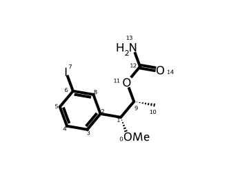 CO[C@H](c1cccc(I)c1)[C@@H](C)OC(N)=O